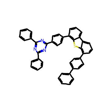 c1ccc(-c2ccc(-c3cccc4c3sc3c(-c5ccc(-c6nc(-c7ccccc7)nc(-c7ccccc7)n6)cc5)cccc34)cc2)cc1